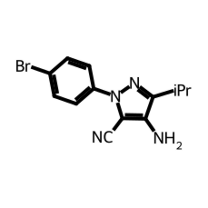 CC(C)c1nn(-c2ccc(Br)cc2)c(C#N)c1N